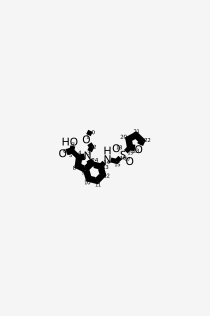 COCn1c(C(=O)O)cc2cccc(NCS(=O)(=O)c3ccco3)c21